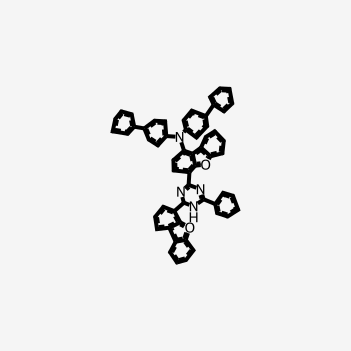 c1ccc(C2=NC(c3ccc(N(c4ccc(-c5ccccc5)cc4)c4ccc(-c5ccccc5)cc4)c4c3oc3ccccc34)=NC(c3cccc4c3oc3ccccc34)N2)cc1